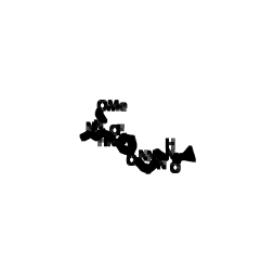 COCCn1nc(C)cc1C(=O)Nc1cc(Oc2ccc3nc(NC(=O)C4CC4)cn3n2)ccc1F